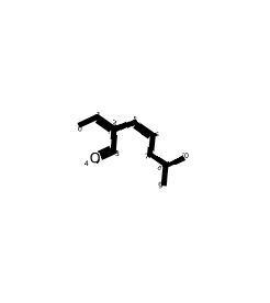 CC=C(C=O)/C=C\CC(C)C